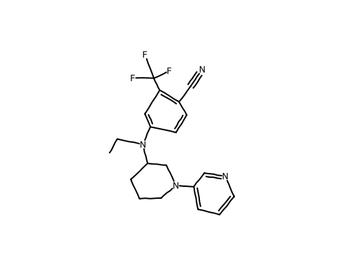 CCN(c1ccc(C#N)c(C(F)(F)F)c1)C1CCCN(c2cccnc2)C1